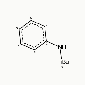 [CH2]C(CC)Nc1ccccc1